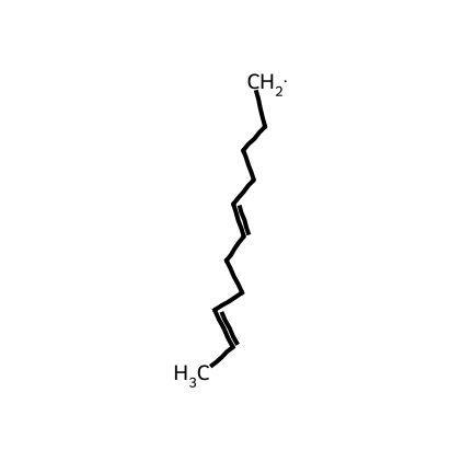 [CH2]CCCC=CCCC=CC